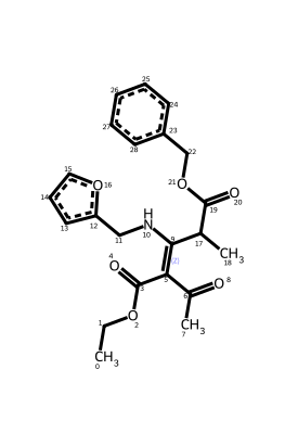 CCOC(=O)/C(C(C)=O)=C(\NCc1ccco1)C(C)C(=O)OCc1ccccc1